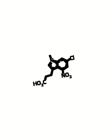 Cn1cc(CCC(=O)O)c2c([N+](=O)[O-])cc(Cl)cc21